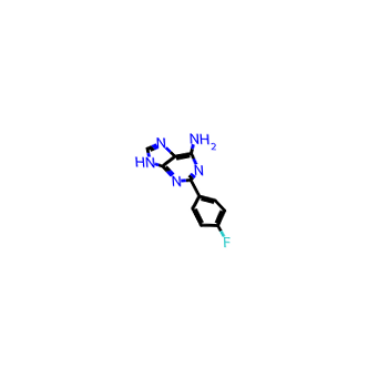 Nc1nc(-c2ccc(F)cc2)nc2[nH]cnc12